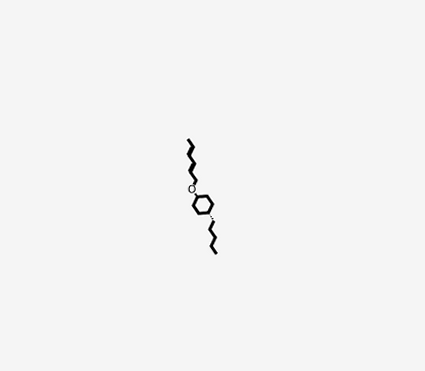 C/C=C/C=C/CO[C@H]1CC[C@H](CCCCC)CC1